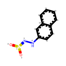 O=S(=O)=NNc1ccc2ccccc2c1